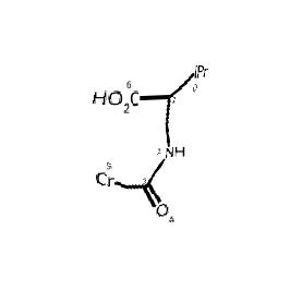 CC(C)C(N[C](=O)[Cr])C(=O)O